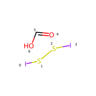 ISSI.O=CO